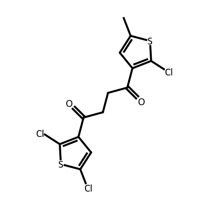 Cc1cc(C(=O)CCC(=O)c2cc(Cl)sc2Cl)c(Cl)s1